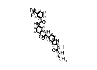 CCNC(=O)Nc1nc2ccc(C(=O)Nc3cc(NC(=O)c4cccc(C(F)(F)F)c4)ccc3C)cc2s1